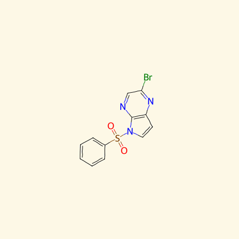 O=S(=O)(c1ccccc1)n1ccc2nc(Br)cnc21